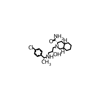 C[C@@H](NC[C@@H](O)CN1C[C@H]2CCCC[C@H]2C[C@H]1C(N)=O)c1ccc(Cl)cc1